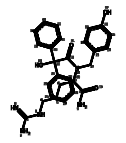 N=C(N)NCCC[C@@H](C(N)=O)N(Cc1ccc(O)cc1)C(=O)C(O)(c1ccccc1)c1ccccc1